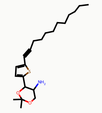 CCCCCCCCCCC#Cc1ccc(C2OC(C)(C)OCC2N)s1